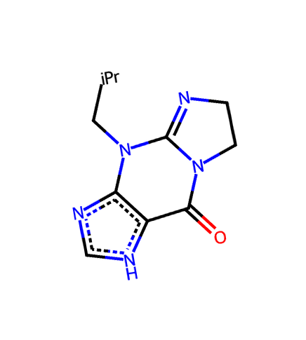 CC(C)CN1C2=NCCN2C(=O)c2[nH]cnc21